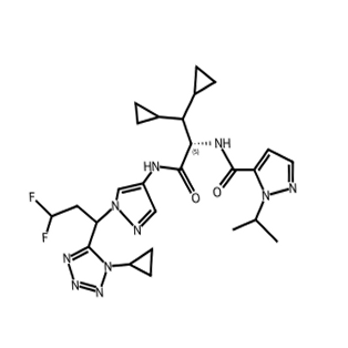 CC(C)n1nccc1C(=O)N[C@H](C(=O)Nc1cnn(C(CC(F)F)c2nnnn2C2CC2)c1)C(C1CC1)C1CC1